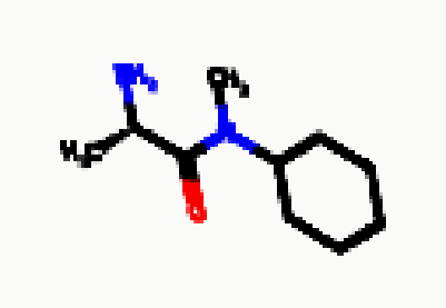 C[C@H](N)C(=O)N(C)C1CCCCC1